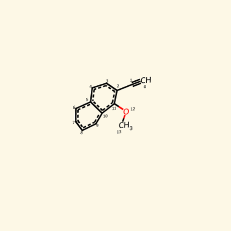 C#Cc1ccc2ccccc2c1OC